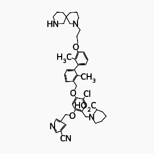 Cc1c(COc2cc(OCc3cncc(C#N)c3)c(CN3CCCC[C@H]3C(=O)O)cc2Cl)cccc1-c1cccc(OCCCN2CCCC3(CCCNC3)C2)c1C